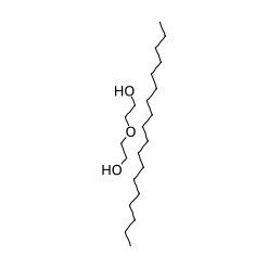 CCCCCCCCCCCCCCCCCC.OCCOCCO